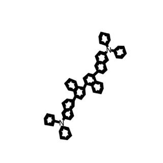 c1ccc(N(c2ccccc2)c2ccc3cc(-c4ccc(-c5ccc(-c6ccc7cc(N(c8ccccc8)c8ccccc8)ccc7c6)c6ccccc56)c5ccccc45)ccc3c2)cc1